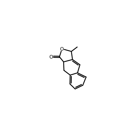 CC1OC(=O)C2Cc3ccccc3C=C12